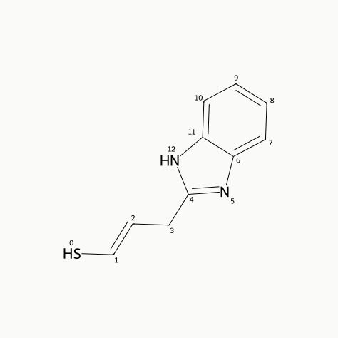 SC=CCc1nc2ccccc2[nH]1